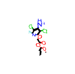 CCC(OC)OC(=O)COc1nc(F)c(Cl)c(N)c1Cl